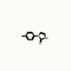 Cc1ccc(-n2cc[nH]c2=O)cc1